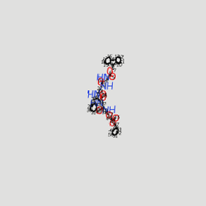 O=C(CNC(=O)OCC1c2ccccc2-c2ccccc21)NCC(=O)NC(Cc1ccccc1)C(=O)NCC(=O)NCOCC(=O)OCc1ccccc1